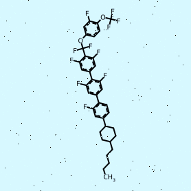 CCCCCC1CCC(c2ccc(-c3cc(F)c(-c4cc(F)c(C(F)(F)Oc5ccc(OC(F)(F)F)c(F)c5)c(F)c4)c(F)c3)c(F)c2)CC1